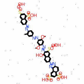 COc1cc(N=Nc2c(SOOO)cc3cc(-n4nc5ccc6c(S(=O)(=O)O)cc(S(=O)(=O)O)cc6c5n4)ccc3c2O)c(OC)cc1N=Nc1ccc(N=Nc2ccc3cc(SOOO)cc(S(=O)(=O)O)c3c2)c(C)c1